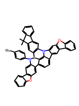 CC(C)(C)c1ccc(N2B3c4cc5c(cc4-n4c6cc7oc8ccccc8c7cc6c6ccc(c3c64)-c3cc4oc6ccccc6c4cc32)-c2ccccc2C5(C)C)cc1